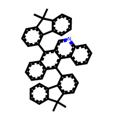 CC1(C)c2ccccc2-c2c(-c3c4ccccc4c(-c4cccc5c4-c4ccccc4C5(C)C)c4c3cnc3ccccc34)cccc21